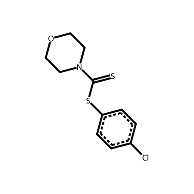 S=C(Sc1ccc(Cl)cc1)N1CCOCC1